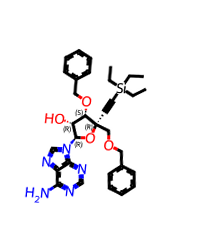 CC[Si](C#C[C@]1(COCc2ccccc2)O[C@@H](n2cnc3c(N)ncnc32)[C@H](O)[C@@H]1OCc1ccccc1)(CC)CC